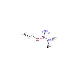 C=CCOP(N)N(C(C)C)C(C)C